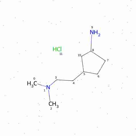 CN(C)CCC1CCC(N)C1.Cl